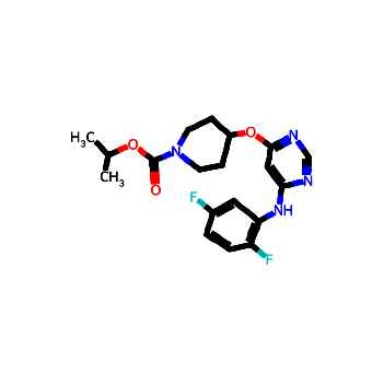 CC(C)OC(=O)N1CCC(Oc2cc(Nc3cc(F)ccc3F)ncn2)CC1